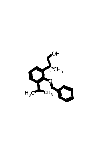 CC(C)c1cccc([C@@H](C)CO)c1OCc1ccccc1